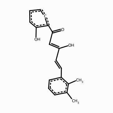 Cc1cccc(/C=C/C(O)=C/C(=O)c2ccccc2O)c1C